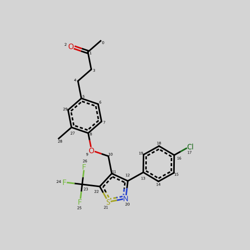 CC(=O)CCc1ccc(OCc2c(-c3ccc(Cl)cc3)nsc2C(F)(F)F)c(C)c1